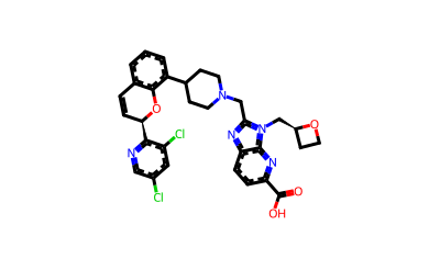 O=C(O)c1ccc2nc(CN3CCC(c4cccc5c4O[C@@H](c4ncc(Cl)cc4Cl)C=C5)CC3)n(C[C@@H]3CCO3)c2n1